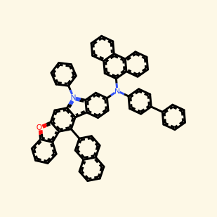 c1ccc(-c2ccc(N(c3ccc4c5c(-c6ccc7ccccc7c6)c6c(cc5n(-c5ccccc5)c4c3)oc3ccccc36)c3cc4ccccc4c4ccccc34)cc2)cc1